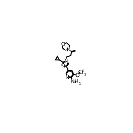 C=C(CCn1cc(-c2cnc(N)c(OC(F)(F)F)c2)nc1C1CC1)N1CCOCC1